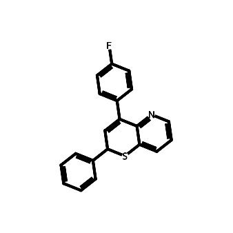 Fc1ccc(C2=CC(c3ccccc3)Sc3cccnc32)cc1